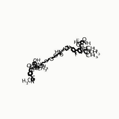 Cc1ncsc1-c1ccc(CNC(=O)[C@@H]2C[C@@H](O)CN2C(=O)C(NC(=O)CCOCCOCCOCCC(=O)NCCN2CCN(Cc3ccc(F)c(-c4ccc(N5C[C@@H](C)N(C)[C@@H](C)C5)c(NC(=O)c5c[nH]c(=O)cc5C(F)(F)F)c4)c3)CC2)C(C)(C)C)cc1